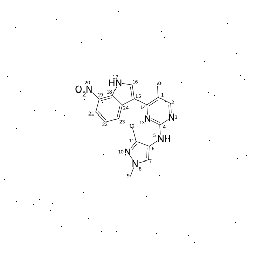 Cc1cnc(Nc2cn(C)nc2C)nc1-c1c[nH]c2c([N+](=O)[O-])cccc12